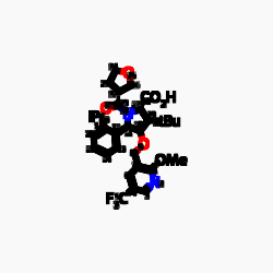 COc1ncc(C(F)(F)F)cc1COC1C(c2ccccc2C(C)C)N(C(=O)[C@@H]2CCOC2)[C@H](C(=O)O)C1C(C)(C)C